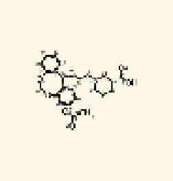 CC(=O)O.O=C(O)[C@@H]1CCCN(CCOC2c3ccccc3OCOc3ccccc32)C1